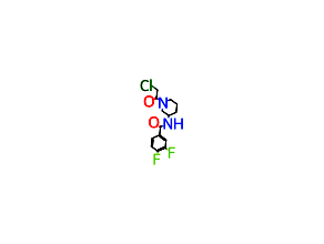 O=C(NC1CCCN(C(=O)CCl)C1)c1ccc(F)c(F)c1